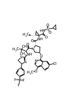 C=C[C@@H]1C[C@]1(NC(=O)[C@@H]1C[C@@H](Oc2ncc(OC)c3ccc(Cl)cc23)CN1C(=O)[C@@H](NC1=NC(c2ccc(C(F)(F)F)cc2)CS1)C(C)(C)C)C(=O)NS(=O)(=O)C1CC1